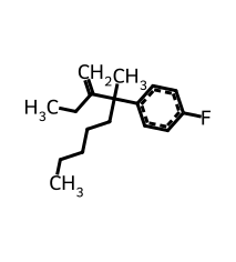 C=C(CC)C(C)(CCCCC)c1ccc(F)cc1